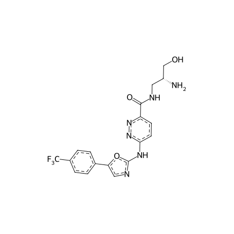 N[C@@H](CO)CNC(=O)c1ccc(Nc2ncc(-c3ccc(C(F)(F)F)cc3)o2)nn1